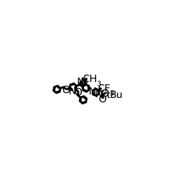 Cn1nc(-c2ccc(OCc3ccccc3)nc2OCc2ccccc2)c2ccc(N3CCN(C(=O)OC(C)(C)C)C(C(F)(F)F)C3)cc21